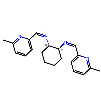 Cc1cccc(/C=N\[C@H]2CCCC[C@@H]2/N=C\c2cccc(C)n2)n1